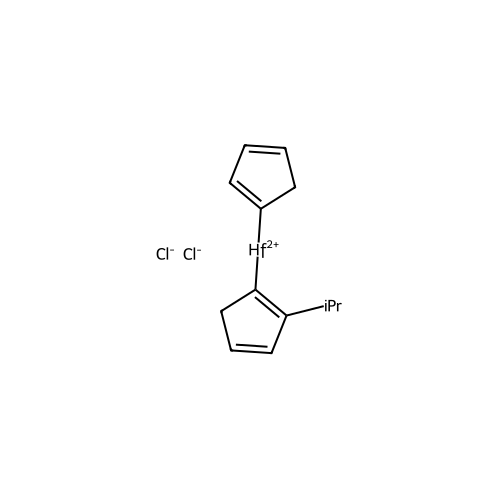 CC(C)C1=[C]([Hf+2][C]2=CC=CC2)CC=C1.[Cl-].[Cl-]